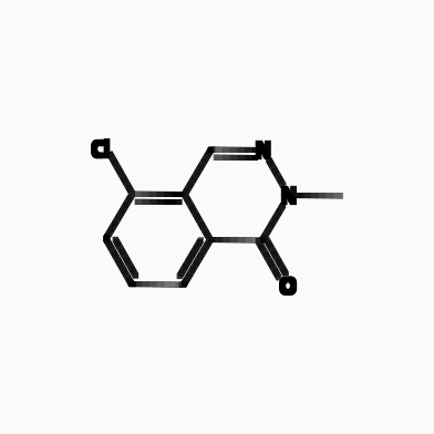 Cn1ncc2c(Cl)cccc2c1=O